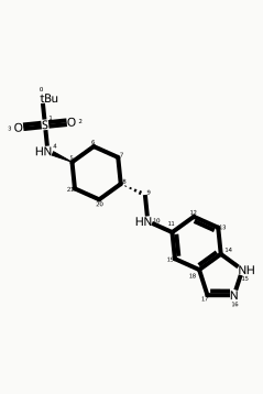 CC(C)(C)S(=O)(=O)N[C@H]1CC[C@H](CNc2ccc3[nH]ncc3c2)CC1